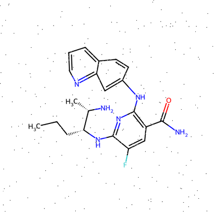 CCC[C@@H](Nc1nc(Nc2ccc3cccnc3c2)c(C(N)=O)cc1F)[C@H](C)N